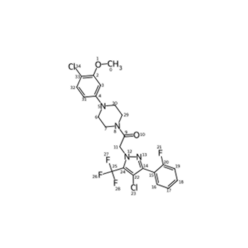 COc1cc(N2CCN(C(=O)Cn3nc(-c4ccccc4F)c(Cl)c3C(F)(F)F)CC2)ccc1Cl